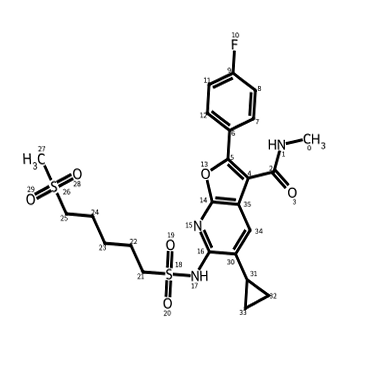 CNC(=O)c1c(-c2ccc(F)cc2)oc2nc(NS(=O)(=O)CCCCCS(C)(=O)=O)c(C3CC3)cc12